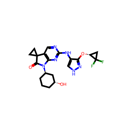 O=C1N([C@@H]2CCC[C@@H](O)C2)c2nc(Nc3c[nH]nc3O[C@@H]3CC3(F)F)ncc2C12CC2